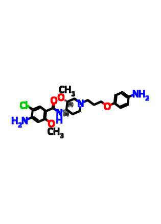 COc1cc(N)c(Cl)cc1C(=O)N[C@H]1CCN(CCCOc2ccc(N)cc2)C[C@H]1OC